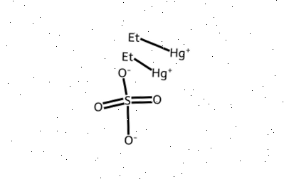 C[CH2][Hg+].C[CH2][Hg+].O=S(=O)([O-])[O-]